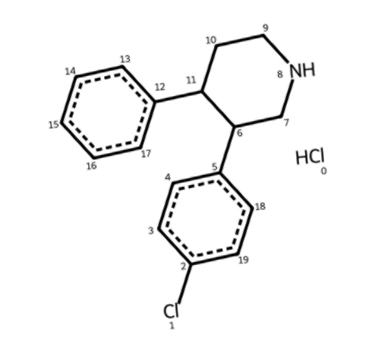 Cl.Clc1ccc(C2CNCCC2c2ccccc2)cc1